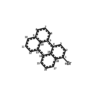 Brc1ccc2c3cccc4cccc(c5cccc1c52)c43